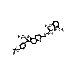 Cc1cccc(C)c1NC(=S)N/N=C/c1ccc2c(n1)CCc1c-2nn(C)c1-c1ccc(OC(F)(F)F)cc1